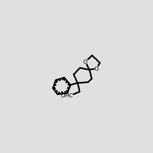 O=CCC1(c2ccccc2)CCC2(CC1)OCCO2